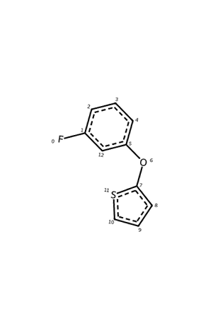 Fc1cccc(Oc2cccs2)c1